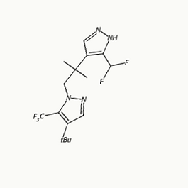 CC(C)(C)c1cnn(CC(C)(C)c2cn[nH]c2C(F)F)c1C(F)(F)F